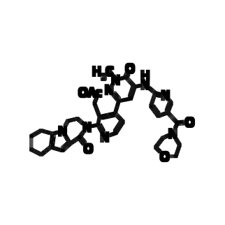 CC(=O)OCc1c(-c2cc(Nc3ccc(C(=O)N4CCOCC4)cn3)c(=O)n(C)n2)ccnc1N1CCn2c(cc3c2CCCC3)C1=O